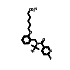 [2H]C(C)(C)N(Cc1ccccc1OCCCCCC(=O)O)C(=O)c1ccc(F)nc1